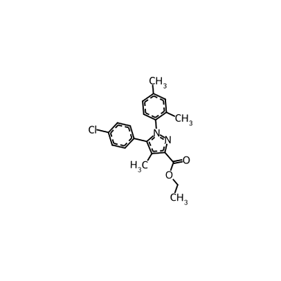 CCOC(=O)c1nn(-c2ccc(C)cc2C)c(-c2ccc(Cl)cc2)c1C